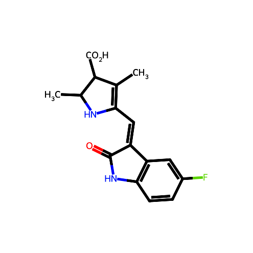 CC1=C(/C=C2\C(=O)Nc3ccc(F)cc32)NC(C)C1C(=O)O